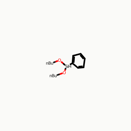 CCCCO[SiH](OCCCC)c1ccccc1